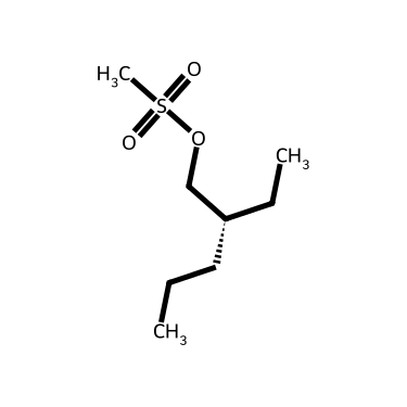 CCC[C@@H](CC)COS(C)(=O)=O